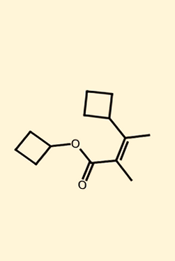 CC(C(=O)OC1CCC1)=C(C)C1CCC1